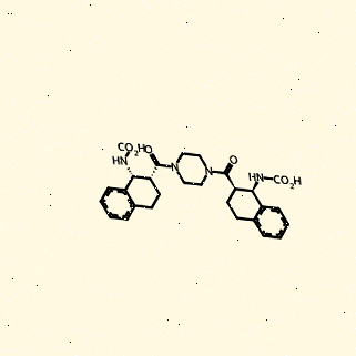 O=C(O)N[C@H]1c2ccccc2CC[C@H]1C(=O)N1CCN(C(=O)[C@@H]2CCc3ccccc3[C@@H]2NC(=O)O)CC1